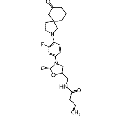 C=CCC(=O)NCC1CN(c2ccc(N3CCC4(CCCC(=O)C4)C3)c(F)c2)C(=O)O1